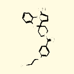 N#Cc1ccc2n1-c1ccccc1OC21CCN(C(=O)c2ccc(OCCO)cc2)CC1